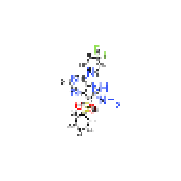 Cc1nc(N2CCC(F)(F)CC2)c2[nH]c(N)c(S(=O)(=O)c3ccccc3)c2n1